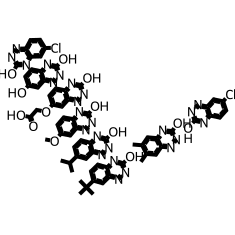 CC(C)(C)c1ccc2nc(O)nnc2c1.CC(C)c1ccc2nc(O)nnc2c1.COc1ccc2nc(O)nnc2c1.Cc1cc2nnc(O)nc2cc1C.O=C(O)COc1ccc2nc(O)nnc2c1.Oc1ccc2nc(O)nnc2c1.Oc1nnc2cc(Cl)ccc2n1.Oc1nnc2ccc(Cl)cc2n1